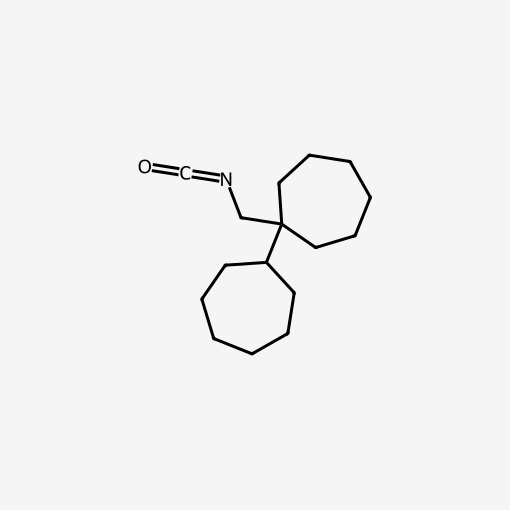 O=C=NCC1(C2CCCCCC2)CCCCCC1